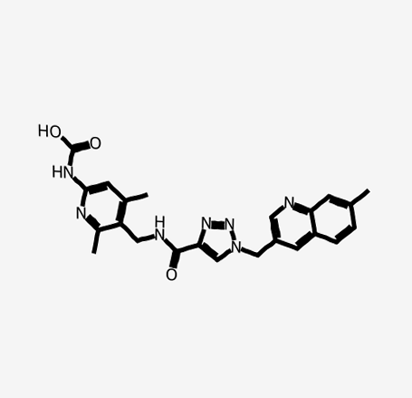 Cc1ccc2cc(Cn3cc(C(=O)NCc4c(C)cc(NC(=O)O)nc4C)nn3)cnc2c1